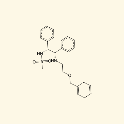 CS(=O)(=O)N[C@H](c1ccccc1)[C@@H](NCCOCC1=CCC=CC1)c1ccccc1